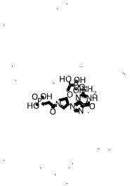 Nc1nc2c(ncn2[C@@H]2CN(C(=O)CCP(=O)(O)O)C[C@H]2OC[C@@H](O)P(=O)(O)O)c(=O)[nH]1